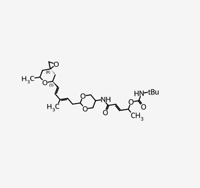 CC(C=C[C@@H]1C[C@@]2(CO2)CC(C)O1)=CCC1OCC(NC(=O)C=CC(C)OC(=O)NC(C)(C)C)CO1